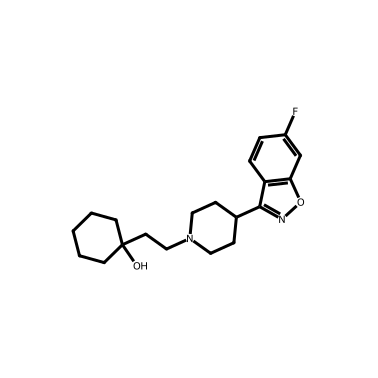 OC1(CCN2CCC(c3noc4cc(F)ccc34)CC2)CCCCC1